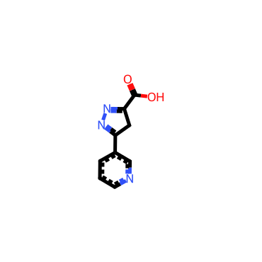 O=C(O)C1=NN=C(c2cccnc2)C1